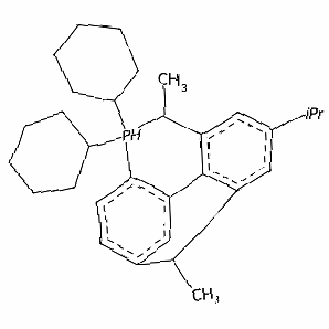 CC(C)c1cc2c3c(c1)C(C)[PH](C1CCCCC1)(C1CCCCC1)c1ccc(cc1-3)C2C